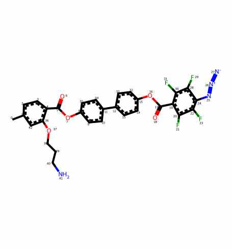 Cc1ccc(C(=O)Oc2ccc(-c3ccc(OC(=O)c4c(F)c(F)c(N=[N+]=[N-])c(F)c4F)cc3)cc2)c(OCCCN)c1